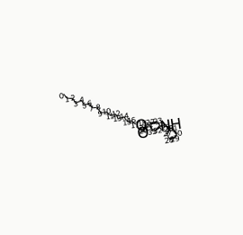 CCCCCCCCCCCCCCCCCCOC(=O)c1ccc(Nc2ccccc2)cc1